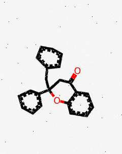 O=C1CC(Cc2ccccc2)(c2ccccc2)Oc2ccccc21